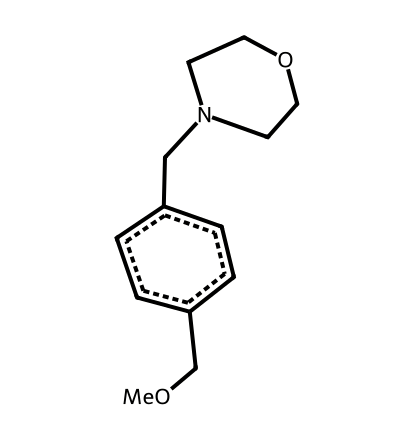 COCc1ccc(CN2CCOCC2)cc1